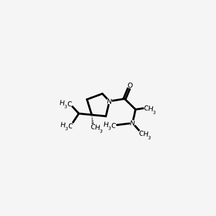 CC(C(=O)N1CC[C@](C)(C(C)C)C1)N(C)C